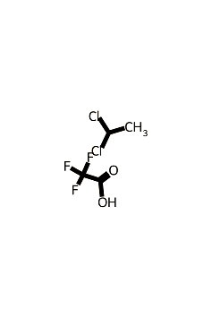 CC(Cl)Cl.O=C(O)C(F)(F)F